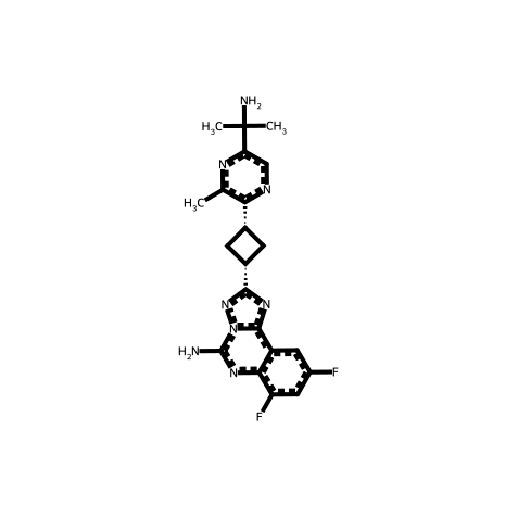 Cc1nc(C(C)(C)N)cnc1[C@H]1C[C@@H](c2nc3c4cc(F)cc(F)c4nc(N)n3n2)C1